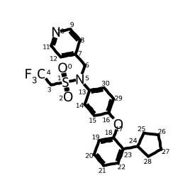 O=S(=O)(CC(F)(F)F)N(Cc1ccncc1)c1ccc(Oc2ccccc2C2CCCC2)cc1